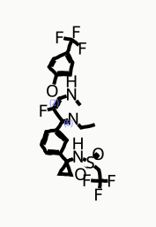 CC/N=C(/C(F)=C(\NC)Oc1ccc(C(F)(F)F)cc1)c1cccc(C2(NS(=O)(=O)CC(F)(F)F)CC2)c1